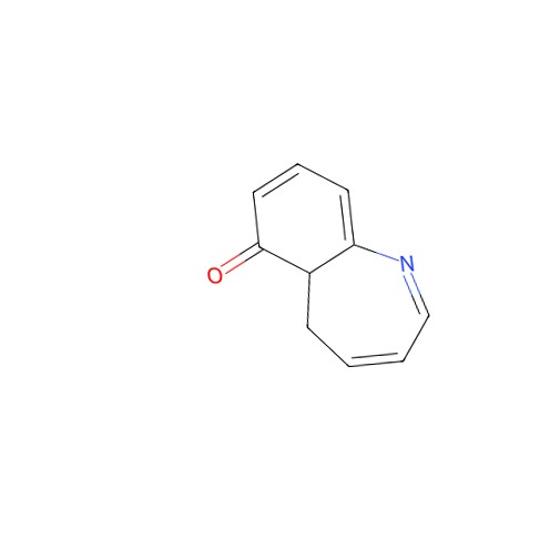 O=C1C=CC=C2N=CC=CCC12